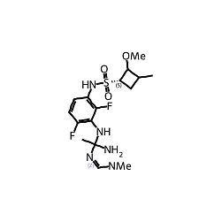 CN/C=N\C(C)(N)Nc1c(F)ccc(NS(=O)(=O)[C@H]2CC(C)C2OC)c1F